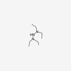 CCN(CC)NN(CC)CC